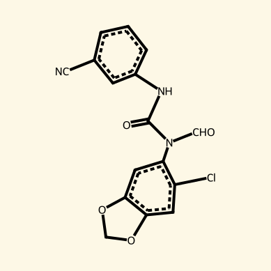 N#Cc1cccc(NC(=O)N(C=O)c2cc3c(cc2Cl)OCO3)c1